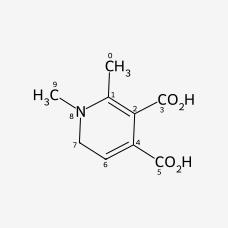 CC1=C(C(=O)O)C(C(=O)O)=CCN1C